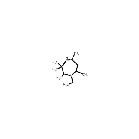 CCN1C(C)CC(C)NC(C)(C)C1C